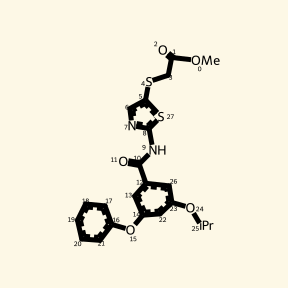 COC(=O)CSc1cnc(NC(=O)c2cc(Oc3ccccc3)cc(OC(C)C)c2)s1